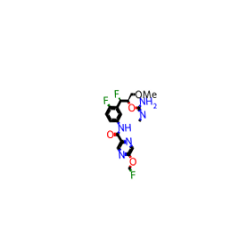 C/N=C(/N)O[C@H](COC)[C@H](F)c1cc(NC(=O)c2cnc(OCF)cn2)ccc1F